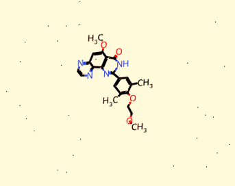 COCCOc1c(C)cc(-c2nc3c(c(OC)cc4nccnc43)c(=O)[nH]2)cc1C